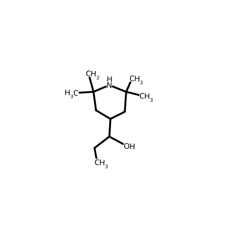 CCC(O)C1CC(C)(C)NC(C)(C)C1